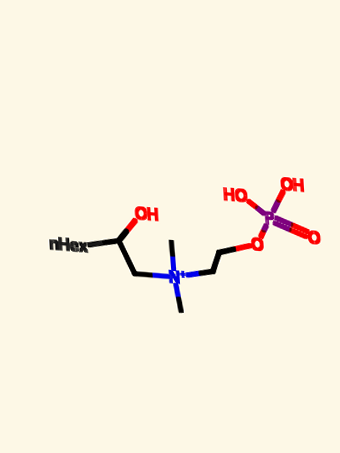 CCCCCCC(O)C[N+](C)(C)CCOP(=O)(O)O